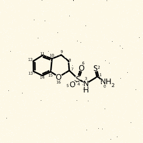 NC(=S)NS(=O)(=O)C1CCc2ccccc2O1